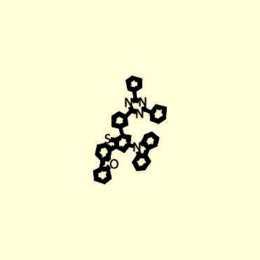 c1ccc(-c2nc(-c3ccccc3)nc(-c3cccc(-c4cc(-n5c6ccccc6c6ccccc65)cc5c4sc4ccc6c7ccccc7oc6c45)c3)n2)cc1